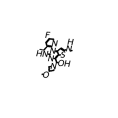 CNc1cc2nc(N[C@@H](C)c3cncc(F)c3)nc(C(O)N3CC(OC)C3)c2s1